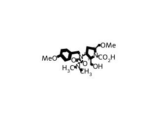 COC[C@@H]1C[C@H](N(Cc2ccc(OC)cc2)S(=O)(=O)N(C)C)[C@H](CO)N1C(=O)O